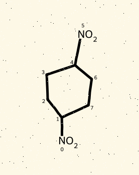 O=[N+]([O-])C1CCC([N+](=O)[O-])CC1